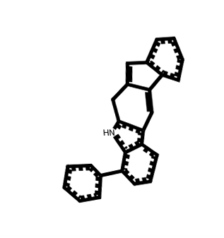 C1=C2Cc3[nH]c4c(-c5ccccc5)cccc4c3C=C2c2ccccc21